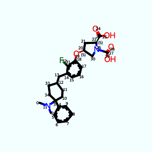 CN(C)C1(c2ccccc2)CCC(Cc2cccc(O[C@H]3C[C@@H](C(=O)O)N(C(=O)O)C3)c2F)CC1